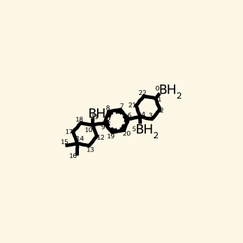 BC1CCC(B)(c2ccc(C3(B)CCC(C)(C)CC3)cc2)CC1